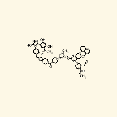 C=CC(=O)N1CCN(c2nc(OC[C@@H]3C[C@H](N4CCC(C(=O)N5CCC6(CC5)CN(Cc5ccc(-n7c(O)nnc7-c7cc(C(C)C)c(O)cc7O)cc5)C6)CC4)CN3C)nc3c2CCN(c2cccc4cccc(Cl)c24)C3)C[C@@H]1CC#N